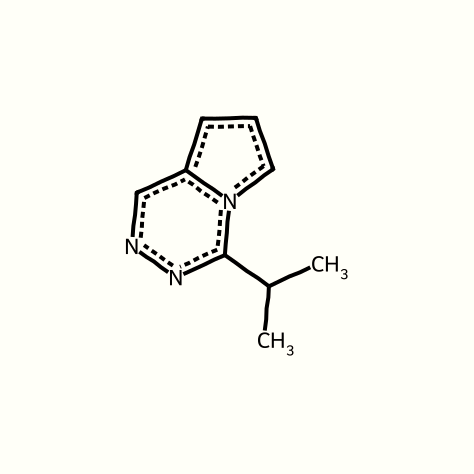 CC(C)c1nncc2cccn12